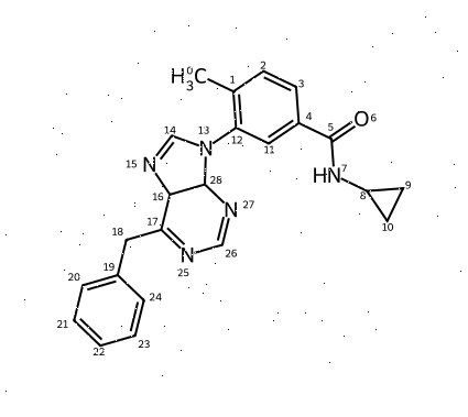 Cc1ccc(C(=O)NC2CC2)cc1N1C=NC2C(Cc3ccccc3)=NC=NC21